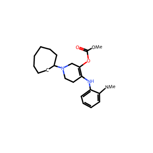 CNc1ccccc1NC1=C(OC(=O)OC)CN(C2CCCCCCC2)CC1